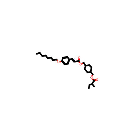 CCCCCCCCOc1ccc(/C=C/C(=O)OCC2CCC(COC(=O)C(C)CC)CC2)cc1